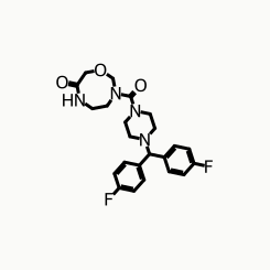 O=C1COCN(C(=O)N2CCN(C(c3ccc(F)cc3)c3ccc(F)cc3)CC2)CCN1